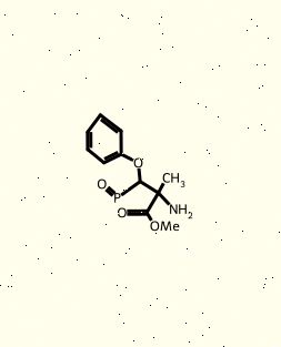 COC(=O)C(C)(N)C(Oc1ccccc1)P=O